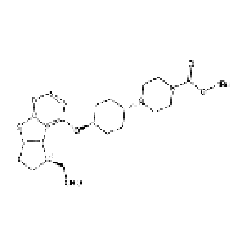 CC(C)(C)OC(=O)N1CCN([C@H]2CC[C@H](Oc3ncnc4sc5c(c34)[C@@H](CC=O)CC5)CC2)CC1